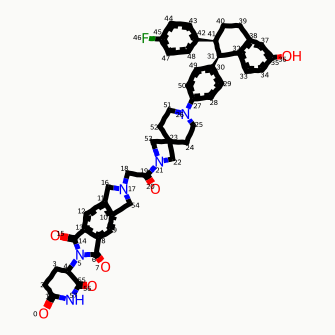 O=C1CCC(N2C(=O)c3cc4c(cc3C2=O)CN(CC(=O)N2CC3(CCN(c5ccc([C@@H]6c7ccc(O)cc7CC[C@@H]6c6ccc(F)cc6)cc5)CC3)C2)C4)C(=O)N1